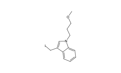 COCCCn1cc(CI)c2ccccc21